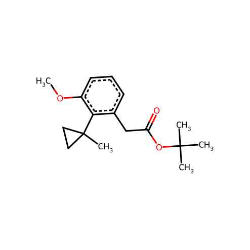 COc1cccc(CC(=O)OC(C)(C)C)c1C1(C)CC1